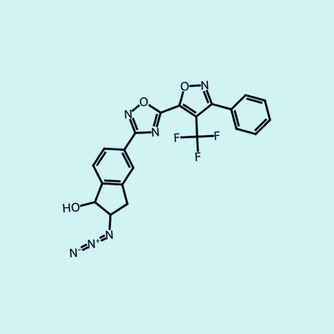 [N-]=[N+]=NC1Cc2cc(-c3noc(-c4onc(-c5ccccc5)c4C(F)(F)F)n3)ccc2C1O